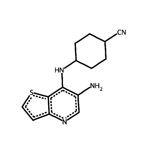 N#CC1CCC(Nc2c(N)cnc3ccsc23)CC1